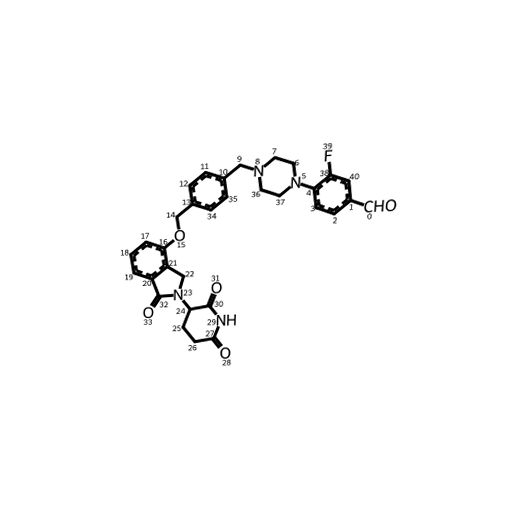 O=Cc1ccc(N2CCN(Cc3ccc(COc4cccc5c4CN(C4CCC(=O)NC4=O)C5=O)cc3)CC2)c(F)c1